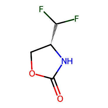 O=C1N[C@@H](C(F)F)CO1